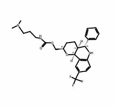 CN(C)CCCNC(=O)OC[C@H]1CC[C@@H]2[C@H](O1)c1cc(C(F)(F)F)ccc1N[C@H]2c1ccccc1